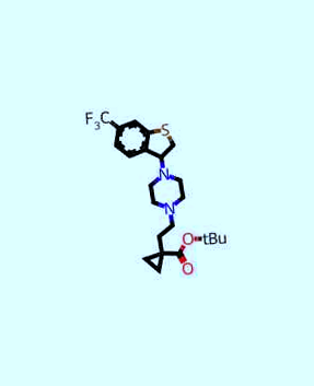 CC(C)(C)OC(=O)C1(CCN2CCN(C3CSc4cc(C(F)(F)F)ccc43)CC2)CC1